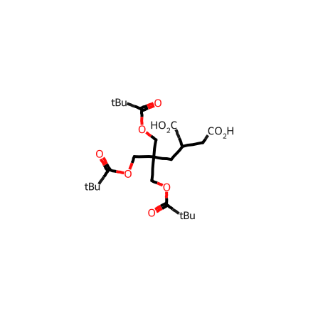 CC(C)(C)C(=O)OCC(COC(=O)C(C)(C)C)(COC(=O)C(C)(C)C)CC(CC(=O)O)C(=O)O